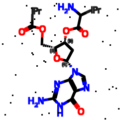 CC(C)C(=O)OC[C@H]1O[C@@H](n2cnc3c(=O)[nH]c(N)nc32)C[C@H]1OC(=O)C(N)C(C)C